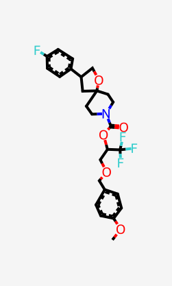 COc1ccc(COCC(OC(=O)N2CCC3(CC2)CC(c2ccc(F)cc2)CO3)C(F)(F)F)cc1